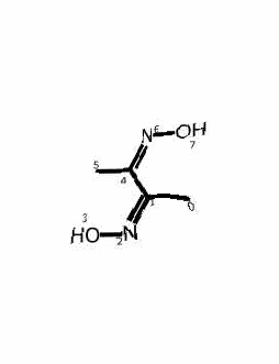 CC(=N/O)/C(C)=N\O